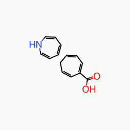 C1=CC=CNC=C1.O=C(O)C1=CC=CCC=C1